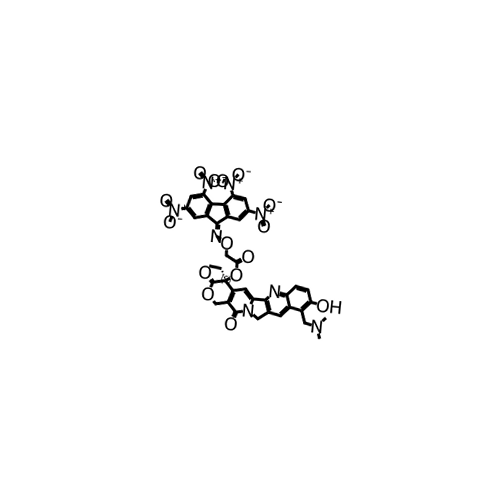 CC[C@@]1(OC(=O)CON=C2c3cc([N+](=O)[O-])cc([N+](=O)[O-])c3-c3c2cc([N+](=O)[O-])cc3[N+](=O)[O-])C(=O)OCc2c1cc1n(c2=O)Cc2cc3c(CN(C)C)c(O)ccc3nc2-1